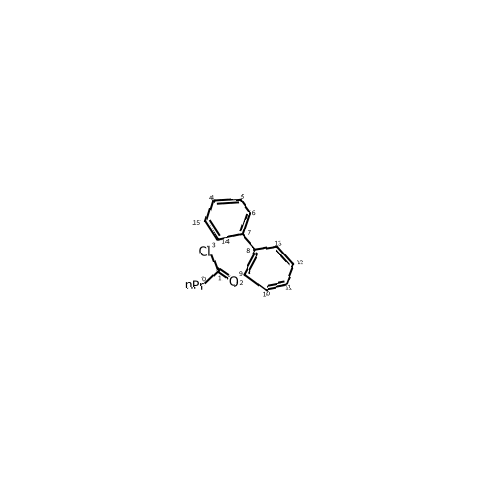 CCCC(=O)Cl.c1ccc(-c2ccccc2)cc1